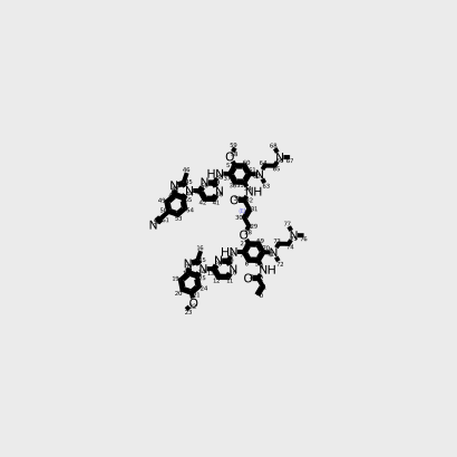 C=CC(=O)Nc1cc(Nc2nccc(-n3c(C)nc4ccc(OC)cc43)n2)c(OC/C=C/C(=O)Nc2cc(Nc3nccc(-n4c(C)nc5cc(C#N)ccc54)n3)c(OC)cc2N(C)CCN(C)C)cc1N(C)CCN(C)C